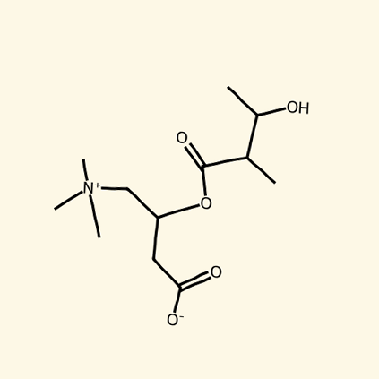 CC(O)C(C)C(=O)OC(CC(=O)[O-])C[N+](C)(C)C